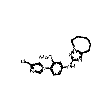 COc1cc(Nc2nc3n(n2)CCCCC3)ccc1-n1cnc(Cl)c1